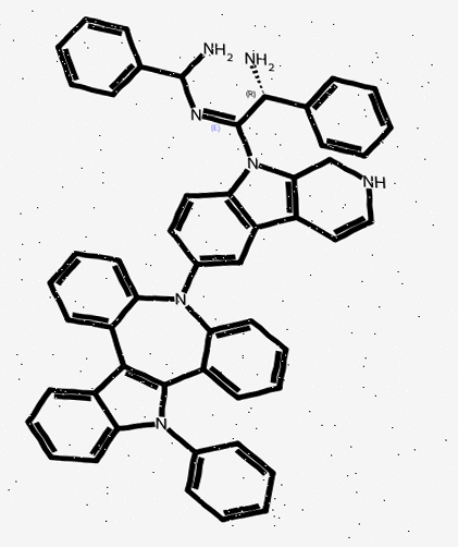 NC(/N=C(\[C@H](N)c1ccccc1)n1c2c(c3cc(N4c5ccccc5-c5c(n(-c6ccccc6)c6ccccc56)-c5ccccc54)ccc31)C=CNC2)c1ccccc1